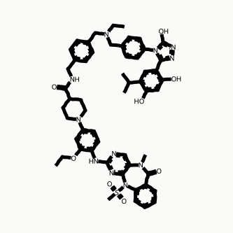 CCOc1cc(N2CCC(C(=O)NCc3ccc(CN(CC)Cc4ccc(-n5c(O)nnc5-c5cc(C(C)C)c(O)cc5O)cc4)cc3)CC2)ccc1Nc1ncc2c(n1)N(S(C)(=O)=O)c1ccccc1C(=O)N2C